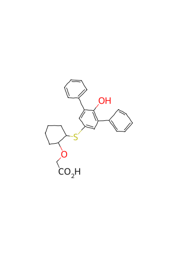 O=C(O)COC1CCCCC1Sc1cc(-c2ccccc2)c(O)c(-c2ccccc2)c1